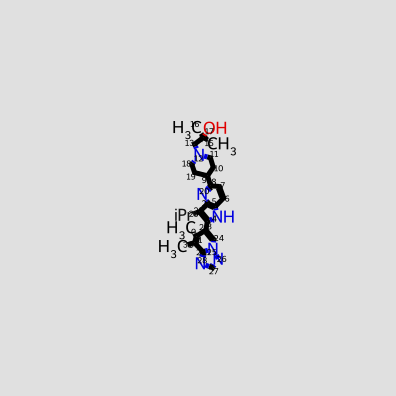 Cc1c(-c2[nH]c3ccc(C4CCN(CC(C)(C)O)CC4)nc3c2C(C)C)cn2ncnc2c1C